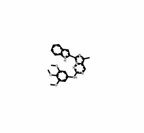 COc1cc(Nc2ncc3c(C)nc(-c4cc5ccccc5[nH]4)n3n2)cc(OC)c1OC